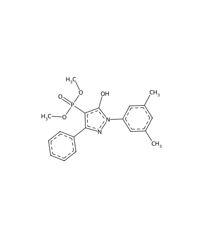 COP(=O)(OC)c1c(-c2ccccc2)nn(-c2cc(C)cc(C)c2)c1O